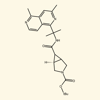 Cc1cc2c(C)nccc2c(C(C)(C)NC(=O)C2C3CN(C(=O)OC(C)(C)C)C[C@H]32)n1